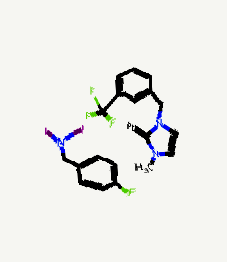 Cn1ccn(Cc2cccc(C(F)(F)F)c2)[c]1=[Pt].Fc1ccc(CN(I)I)cc1